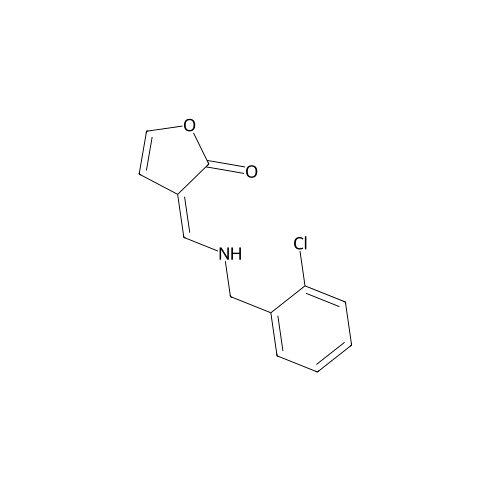 O=C1OC=CC1=CNCc1ccccc1Cl